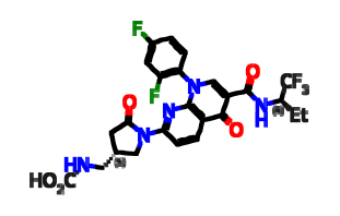 CC[C@@H](NC(=O)c1cn(-c2ccc(F)cc2F)c2nc(N3C[C@H](CNC(=O)O)CC3=O)ccc2c1=O)C(F)(F)F